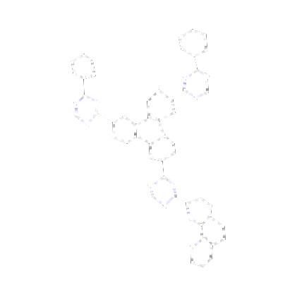 c1ccc(-c2ncnc(-c3ccc4c(c3)c3ccc(-c5ncnc(-c6ccccc6)n5)cc3c3ccc(-c5ncnc(-c6ccc7ccc8cccnc8c7n6)n5)cc43)n2)cc1